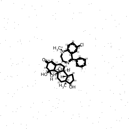 CN1CCN=C(c2ccccc2)c2cc(Cl)ccc21.C[C@]12CC[C@H]3[C@@H](CCC4=CC(=O)CC(O)(O)[C@@]43C)[C@@H]1CC[C@@H]2O